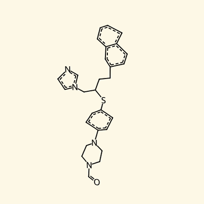 O=CN1CCN(c2ccc(SC(CCc3ccc4ccccc4c3)Cn3ccnc3)cc2)CC1